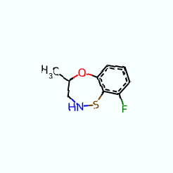 CC1CNSc2c(F)cccc2O1